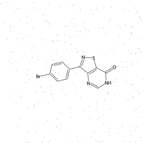 O=c1[nH]cnc2c(-c3ccc(Br)cc3)nsc12